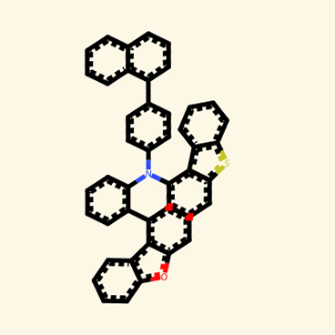 c1ccc(N(c2ccc(-c3cccc4ccccc34)cc2)c2cccc3sc4ccccc4c23)c(-c2cccc3oc4ccccc4c23)c1